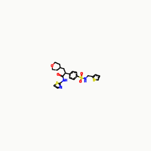 O=C(Nc1nccs1)C(CC1CCOCC1)c1ccc(S(=O)(=O)NCc2cccs2)cc1